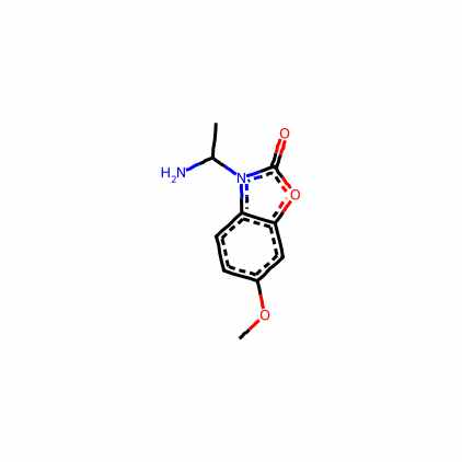 COc1ccc2c(c1)oc(=O)n2C(C)N